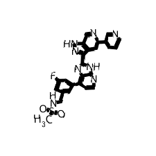 CS(=O)(=O)NCc1cc(F)cc(-c2ccnc3[nH]c(-c4n[nH]c5cnc(-c6cccnc6)cc45)nc23)c1